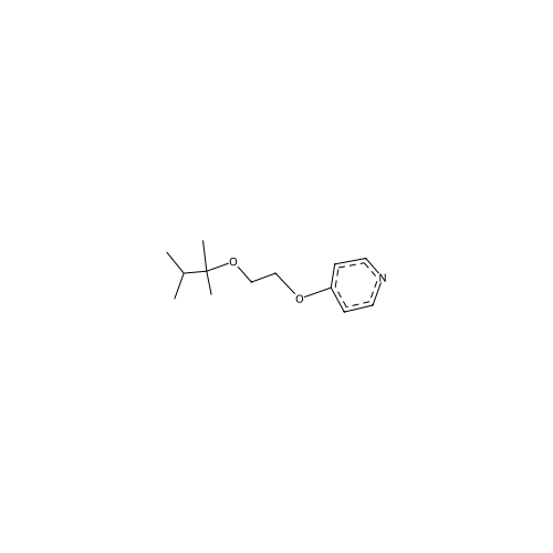 CC(C)C(C)(C)OCCOc1ccncc1